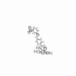 C[C@@H](O)[C@H](NC(=O)c1ccc(COc2cccc([N+](=O)[O-])c2)cc1)C(=O)NO